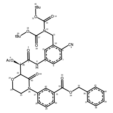 CC(=O)O[C@@H](C(=O)Nc1ccc(C#N)c(CN(C(=O)OC(C)(C)C)C(=O)OC(C)(C)C)c1)C1OCCN(c2cccc(C(=O)OCc3ccccc3)c2)C1=O